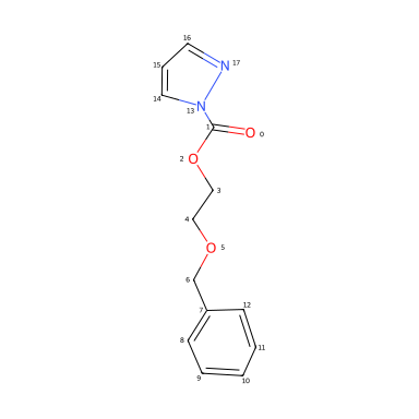 O=C(OCCOCc1ccccc1)n1cccn1